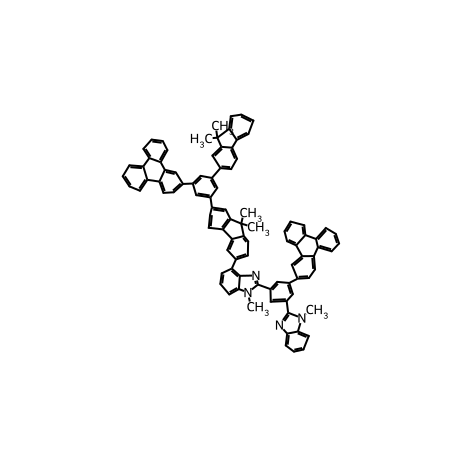 Cn1c(-c2cc(-c3ccc4c5ccccc5c5ccccc5c4c3)cc(-c3nc4c(-c5ccc6c(c5)-c5ccc(-c7cc(-c8ccc9c(c8)C(C)(C)c8ccccc8-9)cc(-c8ccc9c%10ccccc%10c%10ccccc%10c9c8)c7)cc5C6(C)C)cccc4n3C)c2)nc2ccccc21